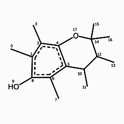 Cc1c(C)c2c(c(C)c1O)C(C)C(C)C(C)(C)O2